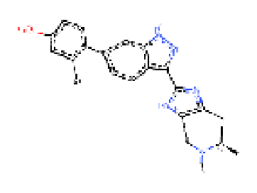 CCc1cc(O)ccc1-c1ccc2c(-c3nc4c([nH]3)CN(C)[C@H](C)C4)n[nH]c2c1